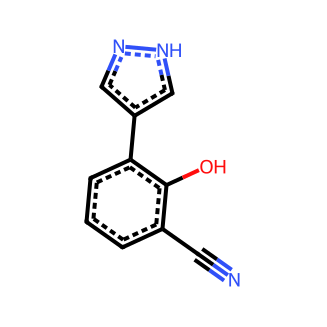 N#Cc1cccc(-c2cn[nH]c2)c1O